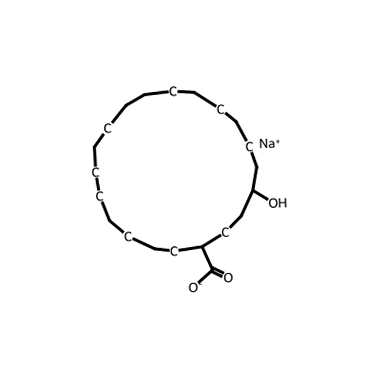 O=C([O-])C1CCCCCCCCCCCCCCCCC(O)CC1.[Na+]